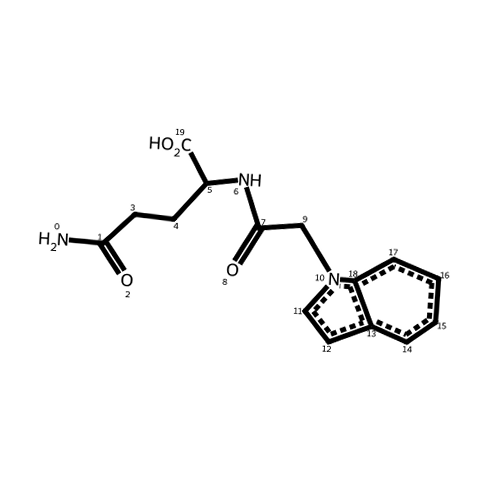 NC(=O)CCC(NC(=O)Cn1ccc2ccccc21)C(=O)O